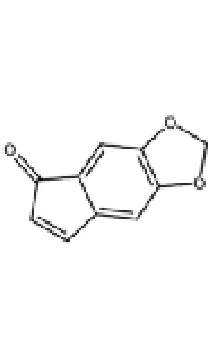 O=C1C=Cc2cc3c(cc21)OCO3